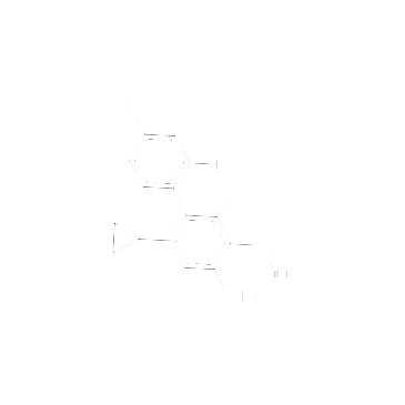 CC(C)Oc1c(C=O)cc(C2CC2)c(-c2ccc(F)cc2F)c1Cl